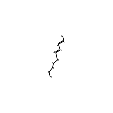 CC=CC=CCCCCC